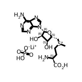 C[S+](CC[C@H](N)C(=O)O)C[C@H]1O[C@@H](n2cnc3c(N)ncnc32)[C@H](O)[C@@H]1O.O=P([O-])([O-])O.[Li+]